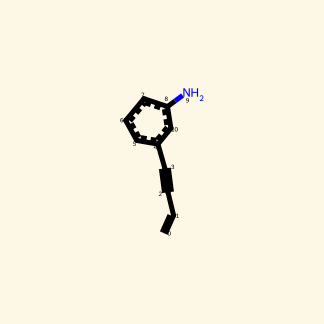 C=CC#Cc1cccc(N)c1